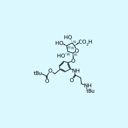 CC(C)(C)NCCC(=O)Nc1cc(COC(=O)C(C)(C)C)ccc1O[C@@H]1O[C@H](C(=O)O)[C@@H](O)[C@H](O)[C@H]1O